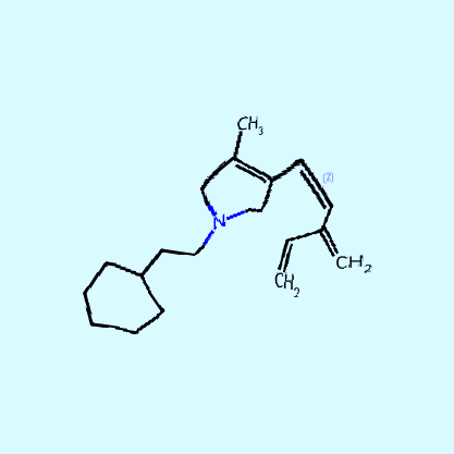 C=CC(=C)/C=C\C1=C(C)CN(CCC2CCCCC2)C1